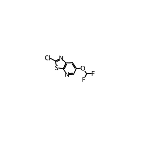 FC(F)Oc1cnc2sc(Cl)nc2c1